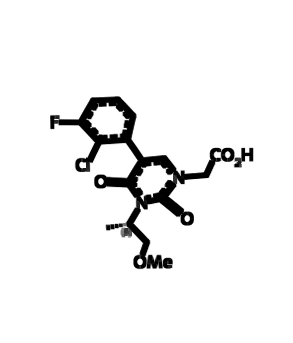 COC[C@H](C)n1c(=O)c(-c2cccc(F)c2Cl)cn(CC(=O)O)c1=O